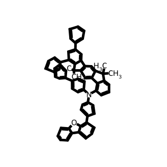 CC1(C)c2cc3c(cc2-c2c(N(c4ccc(-c5ccccc5)cc4)c4ccc(-c5cccc6c5oc5ccccc56)cc4)cccc21)C(C)(C)c1c(-c2ccccc2)cc(-c2ccccc2)cc1-3